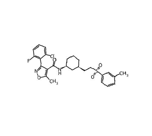 Cc1cccc(S(=O)(=O)CC[C@@H]2CCC[C@H](NC(=O)c3c(-c4c(F)cccc4Cl)noc3C)C2)c1